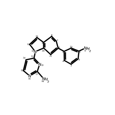 Nc1cccc(-c2ccc3ccn(-c4ccnc(N)n4)c3c2)c1